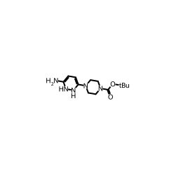 CC(C)(C)OC(=O)N1CCN(C2=CC=C(N)NN2)CC1